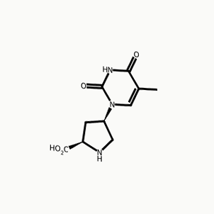 Cc1cn([C@H]2CN[C@@H](C(=O)O)C2)c(=O)[nH]c1=O